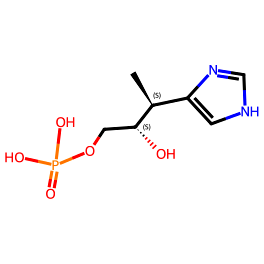 C[C@@H](c1c[nH]cn1)[C@H](O)COP(=O)(O)O